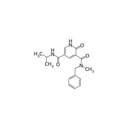 CC(C)NC(=O)c1c[nH]c(=O)c(C(=O)N(C)Cc2ccccc2)c1